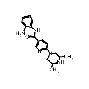 CC1CN(c2ccc(C(=O)Nc3ccccc3N)cn2)CC(C)N1